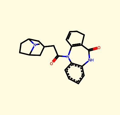 CN1C2CCC1CC(CC(=O)N1C3=C(CCC=C3)C(=O)Nc3ccccc31)C2